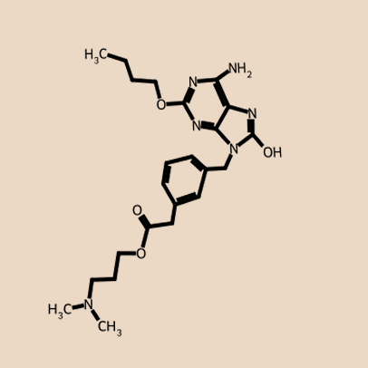 CCCCOc1nc(N)c2nc(O)n(Cc3cccc(CC(=O)OCCCN(C)C)c3)c2n1